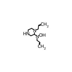 C=CCN(O)C1CNCCN1CC=C